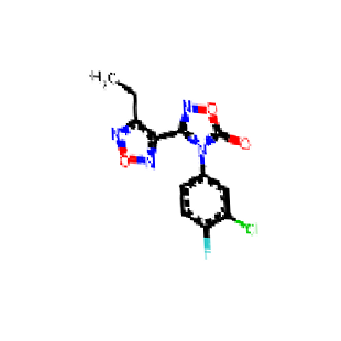 [CH2]Cc1nonc1-c1noc(=O)n1-c1ccc(F)c(Cl)c1